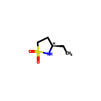 CC[C@@H]1CCS(=O)(=O)N1